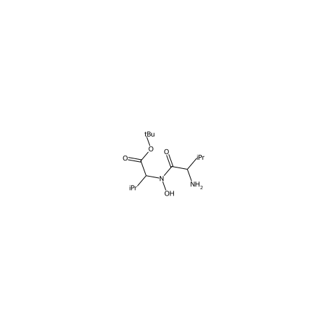 CC(C)C(N)C(=O)N(O)C(C(=O)OC(C)(C)C)C(C)C